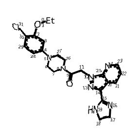 CCOc1cc(N2CCN(C(=O)Cn3nc(C4=NCCN4)c4cccnc43)CC2)ccc1Cl